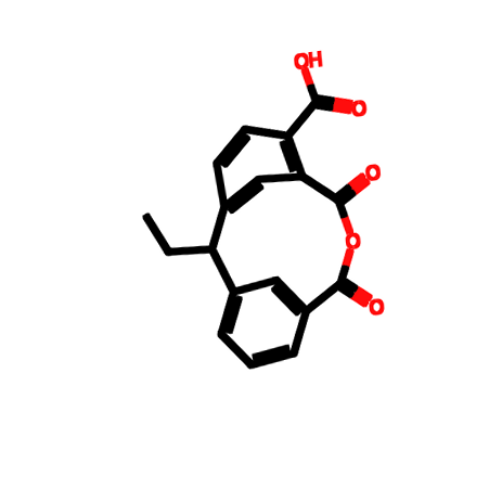 CCC1c2cccc(c2)C(=O)OC(=O)c2cc1ccc2C(=O)O